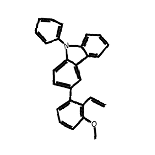 C=Cc1c(OC)cccc1-c1ccc2c(c1)c1ccccc1n2-c1ccccc1